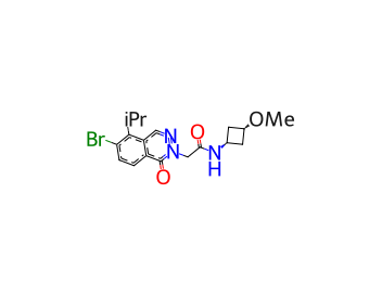 CO[C@H]1C[C@@H](NC(=O)Cn2ncc3c(C(C)C)c(Br)ccc3c2=O)C1